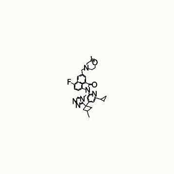 CC1CC(c2cc(C3CC3)nc(N3C(=O)c4cc(CN5CCO[C@H](C)C5)cc5c(F)ccc3c45)c2)(c2nncn2C)C1